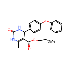 COCCOC(=O)C1=C(C)NC(=O)NC1c1ccc(Oc2ccccc2)cc1